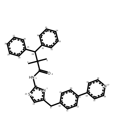 CC(C)(C(=O)Nc1nc(Cc2ccc(-c3ccncc3)cc2)cs1)C(c1ccccc1)c1ccccc1